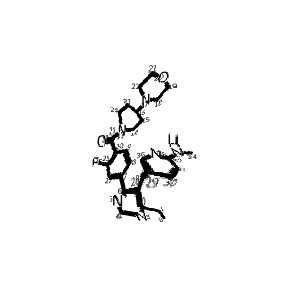 CCc1ncnc(-c2ccc(C(=O)N3CCC(N4CCOCC4)CC3)c(F)c2)c1-c1ccc(NC)nc1